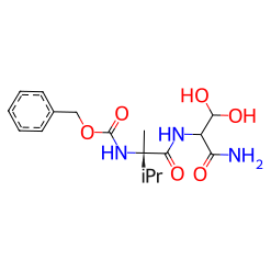 CC(C)[C@](C)(NC(=O)OCc1ccccc1)C(=O)NC(C(N)=O)C(O)O